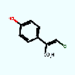 O=C(O)C(=CCl)c1ccc(O)cc1